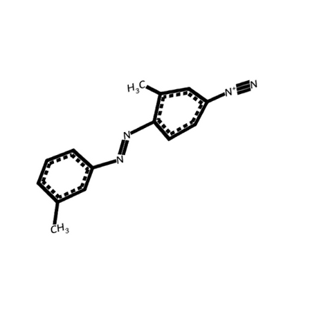 Cc1cccc(/N=N/c2ccc([N+]#N)cc2C)c1